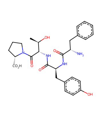 C[C@@H](O)[C@H](NC(=O)[C@H](Cc1ccc(O)cc1)NC(=O)[C@@H](N)Cc1ccccc1)C(=O)N1CCC[C@H]1C(=O)O